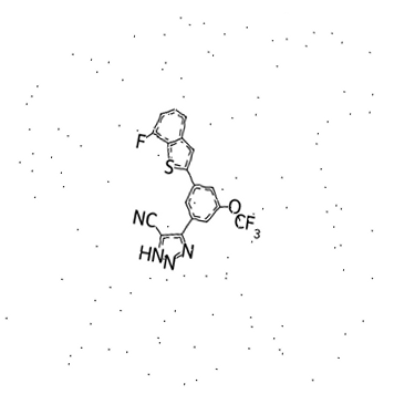 N#Cc1[nH]nnc1-c1cc(OC(F)(F)F)cc(-c2cc3cccc(F)c3s2)c1